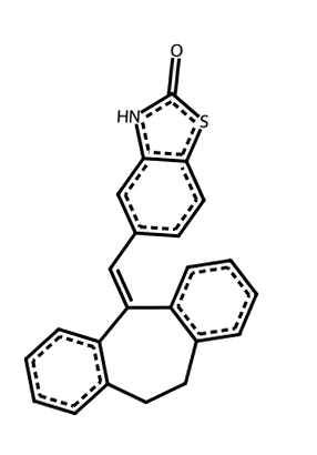 O=c1[nH]c2cc(C=C3c4ccccc4CCc4ccccc43)ccc2s1